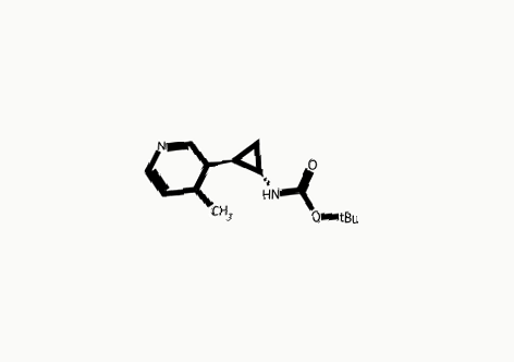 CC1C=CN=CC1[C@H]1C[C@@H]1NC(=O)OC(C)(C)C